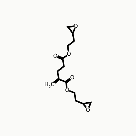 C=C(CCC(=O)OCCC1CO1)C(=O)OCCC1CO1